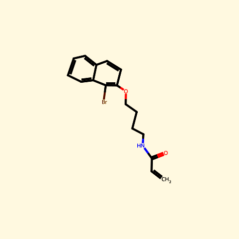 C=CC(=O)NCCCCOc1ccc2ccccc2c1Br